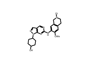 CCN1CCc2cc(OC)c(Nc3ncc4cnn(C5CCC(O)CC5)c4n3)cc2C1